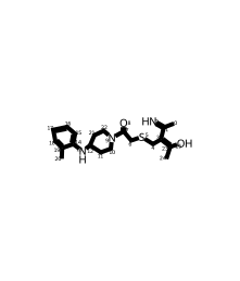 CC(=N)/C(CSCC(=O)N1CCC(Nc2ccccc2C)CC1)=C(/C)O